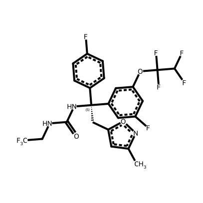 Cc1cc(C[C@](NC(=O)NCC(F)(F)F)(c2ccc(F)cc2)c2cc(F)cc(OC(F)(F)C(F)F)c2)on1